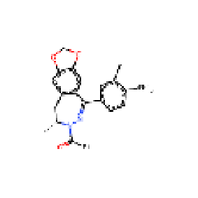 CCC(=O)N1N=C(c2ccc([N+](=O)[O-])c(C)c2)c2cc3c(cc2C[C@H]1C)OCO3